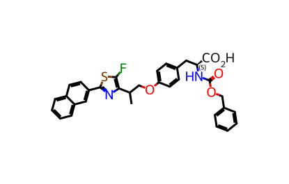 CC(COc1ccc(C[C@H](NC(=O)OCc2ccccc2)C(=O)O)cc1)c1nc(-c2ccc3ccccc3c2)sc1F